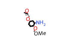 COCOc1ccc(OC[C@@H]2CO2)cc1N